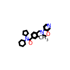 Cc1cc(C(=O)N(C2CCCCC2)C2CCCC2)ccc1CN1CCOc2cnccc21